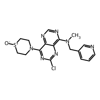 CN(Cc1cccnc1)c1ncnc2c(N3CC[S+]([O-])CC3)nc(Cl)nc12